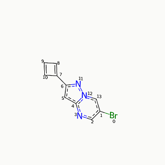 Brc1cnc2cc(C3=CC=C3)nn2c1